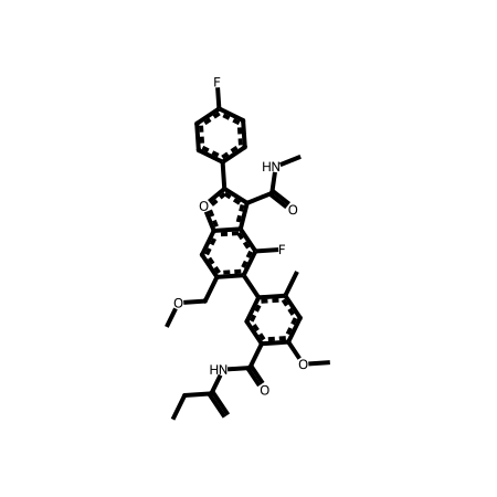 C=C(CC)NC(=O)c1cc(-c2c(COC)cc3oc(-c4ccc(F)cc4)c(C(=O)NC)c3c2F)c(C)cc1OC